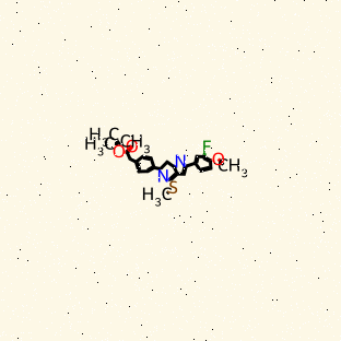 COc1ccc(C2=CC3=C(SC)N=C(c4ccc(CC(=O)OC(C)(C)C)cc4)CC3=N2)cc1F